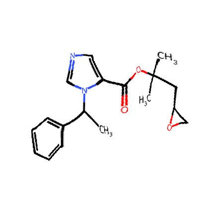 CC(c1ccccc1)n1cncc1C(=O)OC(C)(C)CC1CO1